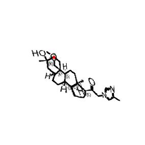 COC[C@]12CC[C@@](C)(O)C[C@H]1CC[C@H]1[C@@H]3CC[C@H](C(=O)Cn4cnc(C)c4)[C@@]3(C)CC[C@@H]12